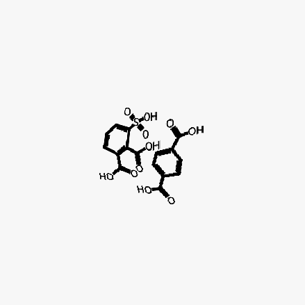 O=C(O)c1ccc(C(=O)O)cc1.O=C(O)c1cccc(S(=O)(=O)O)c1C(=O)O